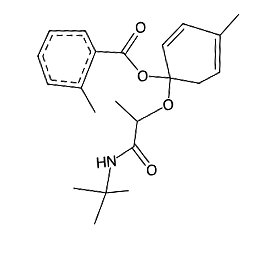 CC1=CCC(OC(=O)c2ccccc2C)(OC(C)C(=O)NC(C)(C)C)C=C1